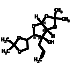 C=CC[C@]1(O)[C@H](C2COC(C)(C)O2)O[C@@H]2OC(C)(C)O[C@@H]21